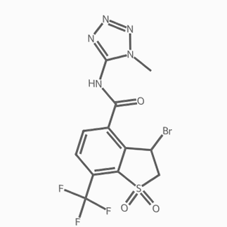 Cn1nnnc1NC(=O)c1ccc(C(F)(F)F)c2c1C(Br)CS2(=O)=O